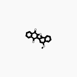 COc1cc2c3c(oc2c2ccccc12)C(=O)c1ccccc1C3=O